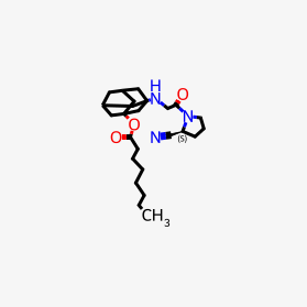 CCCCCCCC(=O)OC12CC3CC(CC(NCC(=O)N4CCC[C@H]4C#N)(C3)C1)C2